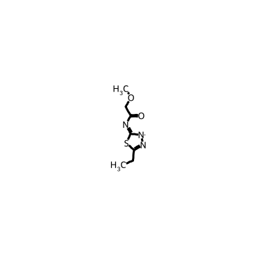 CCC1=N[N]C(=NC(=O)COC)S1